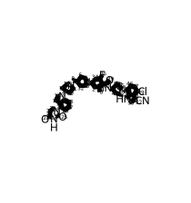 Cc1cc(N2CCC(CN3CCC(n4ccc5c(N6CCC(=O)NC6=O)cccc54)CC3)CC2)cc(F)c1C(=O)NC1CCN(c2ccc(Cl)c3c(C#N)c[nH]c23)CC1